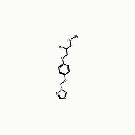 CC(C)NCC(O)COc1ccc(OCn2cncn2)cc1